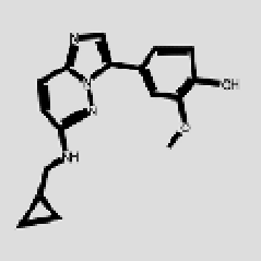 COc1cc(-c2cnc3ccc(NCC4CC4)nn23)ccc1O